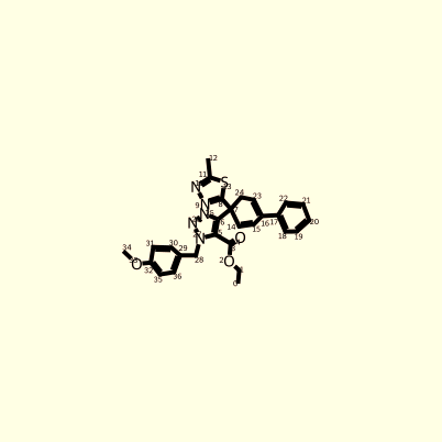 CCOC(=O)c1c(C2(c3nnc(C)s3)C=CC(c3ccccc3)=CC2)nnn1Cc1ccc(OC)cc1